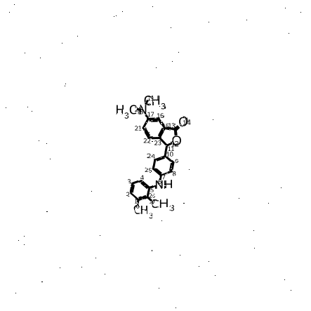 Cc1cccc(Nc2ccc(C3OC(=O)c4cc(N(C)C)ccc43)cc2)c1C